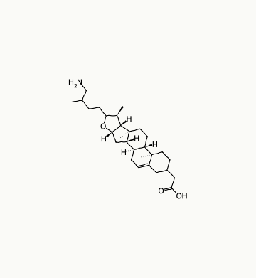 CC(CN)CCC1O[C@H]2C[C@H]3[C@@H]4CC=C5CC(CC(=O)O)CC[C@]5(C)[C@H]4CC[C@]3(C)[C@H]2[C@@H]1C